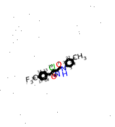 C[C@H]1CC[C@H](NC(=O)c2noc(-c3ccc(C(F)(F)F)cc3)c2Cl)CC1